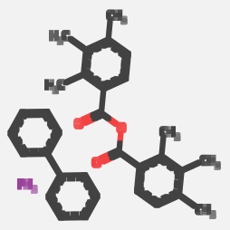 Cc1ccc(C(=O)OC(=O)c2ccc(C)c(C)c2C)c(C)c1C.P.c1ccc(-c2ccccc2)cc1